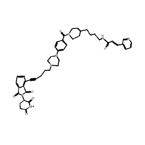 O=C(/C=C/c1cccnc1)NCCCCC1CCN(C(=O)c2ccc(N3CCN(CCCC#Cc4cccc5c4C(=O)N(C4CCC(=O)NC4=O)C5=O)CC3)cc2)CC1